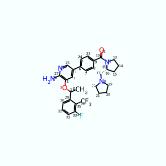 CC(Oc1cc(-c2ccc(C(=O)N3CCC[C@@H]3CN3CCCC3)cc2)cnc1N)c1cccc(F)c1C(F)(F)F